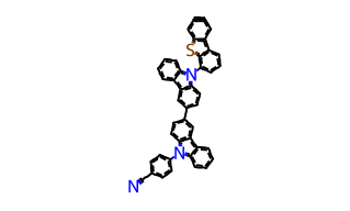 N#Cc1ccc(-n2c3ccccc3c3cc(-c4ccc5c(c4)c4ccccc4n5-c4cccc5c4sc4cc#ccc45)ccc32)cc1